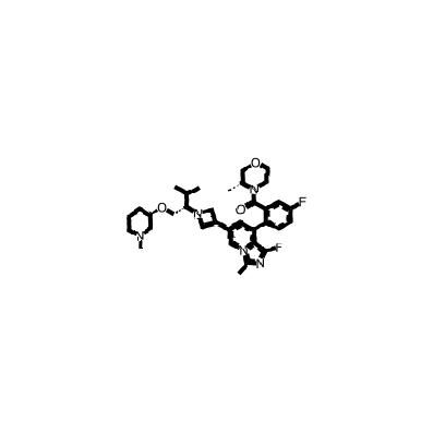 Cc1nc(F)c2c(-c3ccc(F)cc3C(=O)N3CCOC[C@H]3C)cc(C3CN([C@H](CO[C@@H]4CCCN(C)C4)C(C)C)C3)cn12